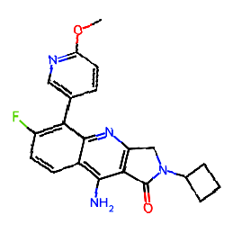 COc1ccc(-c2c(F)ccc3c(N)c4c(nc23)CN(C2CCC2)C4=O)cn1